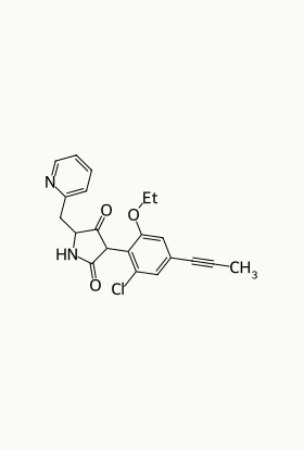 CC#Cc1cc(Cl)c(C2C(=O)NC(Cc3ccccn3)C2=O)c(OCC)c1